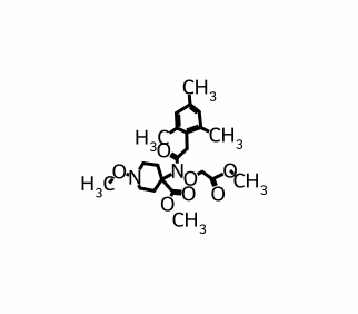 COC(=O)CON(C(=O)Cc1c(C)cc(C)cc1C)C1(C(=O)OC)CCN(OC)CC1